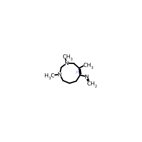 C=N/C1=C(\C)CN(C)CN(C)CCC1